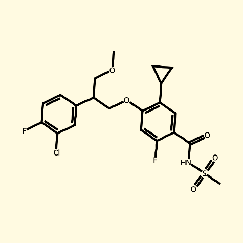 COCC(COc1cc(F)c(C(=O)NS(C)(=O)=O)cc1C1CC1)c1ccc(F)c(Cl)c1